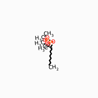 C=CCCCCCCCCCP(=O)(CP(=O)(OC(C)C)OC(C)C)OCC